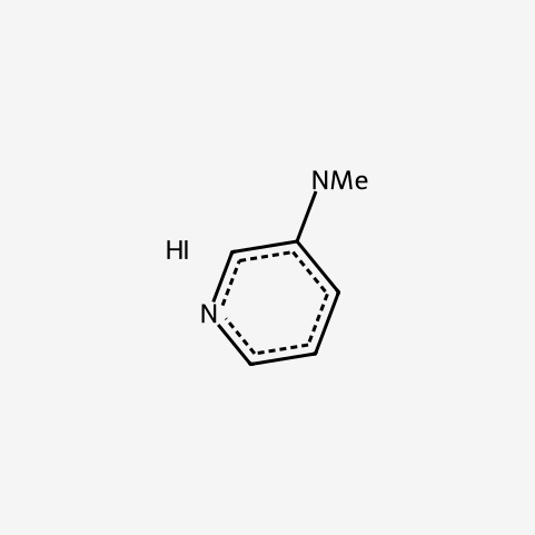 CNc1cccnc1.I